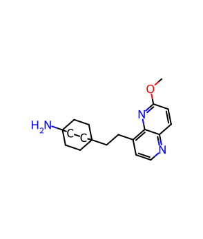 COc1ccc2nccc(CCC34CCC(N)(CC3)CC4)c2n1